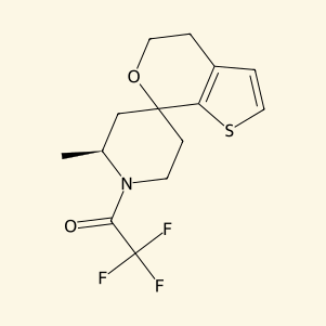 C[C@H]1CC2(CCN1C(=O)C(F)(F)F)OCCc1ccsc12